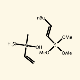 C=C[Si](C)(O)[SiH3].CCCCC=C[Si](OC)(OC)OC